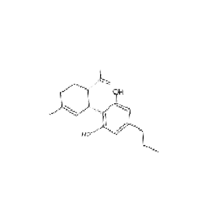 C=C(C)[C@H]1CCC(C)=C[C@H]1c1c(O)cc(CCC)cc1O